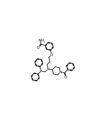 NC(=O)c1cccc(OCCCN(CC(c2ccccc2)c2ccccc2)C2CCN(C(=O)c3ccccc3)CC2)c1